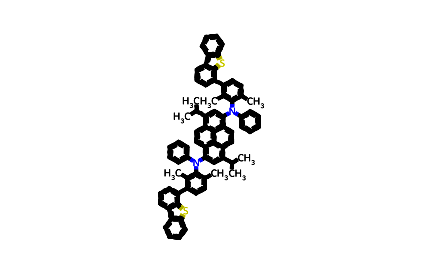 Cc1ccc(-c2cccc3c2sc2ccccc23)c(C)c1N(c1ccccc1)c1cc(C(C)C)c2ccc3c(N(c4ccccc4)c4c(C)ccc(-c5cccc6c5sc5ccccc56)c4C)cc(C(C)C)c4ccc1c2c43